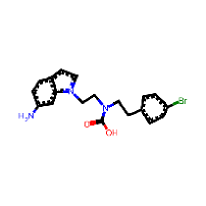 Nc1ccc2ccn(CCN(CCc3ccc(Br)cc3)C(=O)O)c2c1